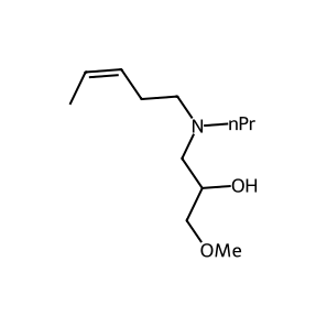 C/C=C\CCN(CCC)CC(O)COC